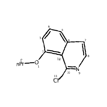 CCCOc1cccc2ccnc(Cl)c12